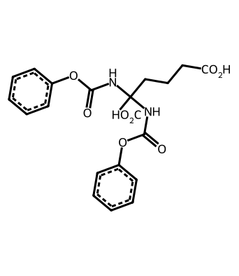 O=C(O)CCCC(NC(=O)Oc1ccccc1)(NC(=O)Oc1ccccc1)C(=O)O